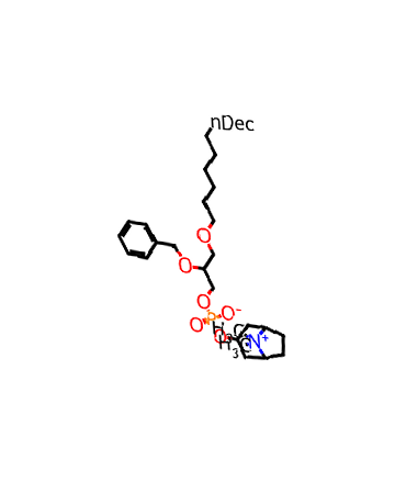 CCCCCCCCCCCCCCCCOCC(COP(=O)([O-])OC1CC2CCC(C1)[N+]2(C)C)OCc1ccccc1